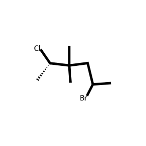 CC(Br)CC(C)(C)[C@H](C)Cl